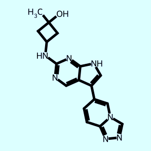 CC1(O)CC(Nc2ncc3c(-c4ccc5nncn5c4)c[nH]c3n2)C1